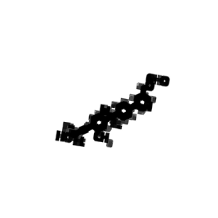 CCC(O)(C#Cc1ccc(C(CC)(CC)c2ccc(-c3cncc(COC=O)c3)cc2)cc1C)CC